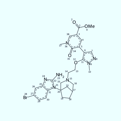 COC(=O)c1cc(-c2cnn(C)c2OCCN2CC3CCC(n4c(N)nc5cc(Br)ccc54)(C3)C2)c(=O)n(C)c1